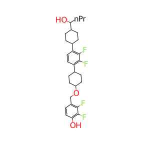 CCCC(O)C1CCC(c2ccc(C3CCC(OCc4ccc(O)c(F)c4F)CC3)c(F)c2F)CC1